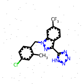 Cc1cc(Cl)ccc1Cn1nc(-c2nnn[nH]2)c2ccc(C(F)(F)F)cc21